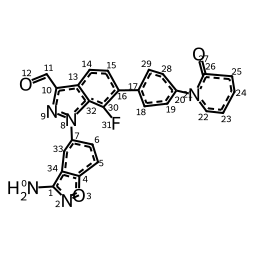 Nc1noc2ccc(-n3nc(C=O)c4ccc(-c5ccc(-n6ccccc6=O)cc5)c(F)c43)cc12